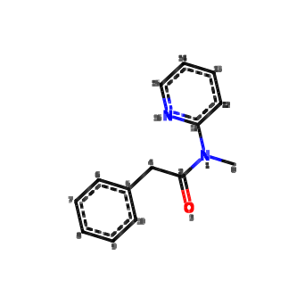 CN(C(=O)Cc1ccccc1)c1ccccn1